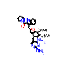 COc1cc(Cc2cnc(N)nc2N)c2cc(Cc3c(C(=O)N4CCCC4)[nH]c4ccccc34)oc2c1OC